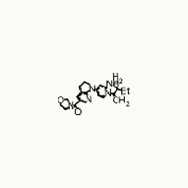 C=C(CC)C(=C)n1ccc(N2CCCc3cc(C(=O)N4CCOC4)cnc32)cc1=N